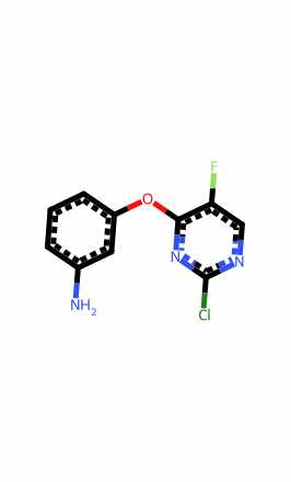 Nc1cccc(Oc2nc(Cl)ncc2F)c1